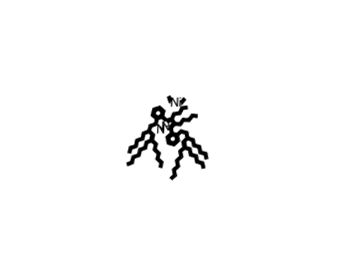 CCCCCCCC(=CC(CCCCCC)CCc1ccccc1C1=C(CCCC)C(CCCCC)=C(c2ccccc2CCC(C=C(CCCCCC)CCCCCCC)CCCCCC)[N+]1=[N-])CCCCCC.C[CH2][Ni][CH2]C